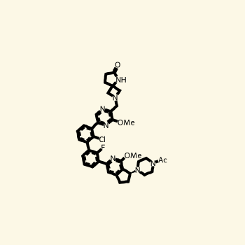 COc1nc(-c2cccc(-c3cccc(-c4cc5c(c(OC)n4)[C@@H](N4CCN(C(C)=O)CC4)CC5)c3F)c2Cl)cnc1CN1CC2(CCC(=O)N2)C1